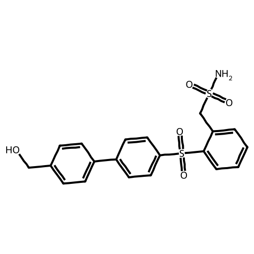 NS(=O)(=O)Cc1ccccc1S(=O)(=O)c1ccc(-c2ccc(CO)cc2)cc1